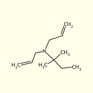 C=CCN(CC=C)C(C)(C)CC